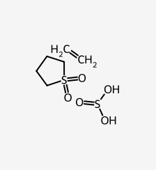 C=C.O=S(O)O.O=S1(=O)CCCC1